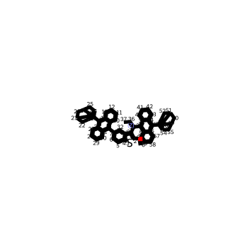 C=Cc1sc2ccc(-c3c4ccccc4c(C4C5CC6CC(C5)CC4C6)c4ccccc34)cc2c1/C(=C\C)c1c2ccccc2c(C2C3CC4CC(C3)CC2C4)c2ccccc12